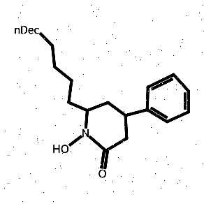 CCCCCCCCCCCCCCC1CC(c2ccccc2)CC(=O)N1O